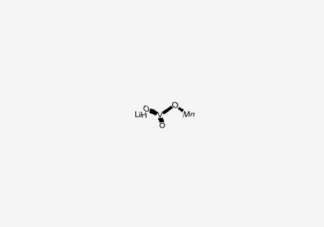 [LiH].[O]=[V](=[O])[O][Mn]